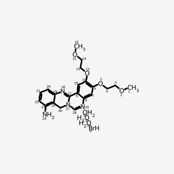 Br.COCCOc1cc2c(cc1OCCOC)C1=Nc3cccc(N)c3CN1C=N2.O.O.O